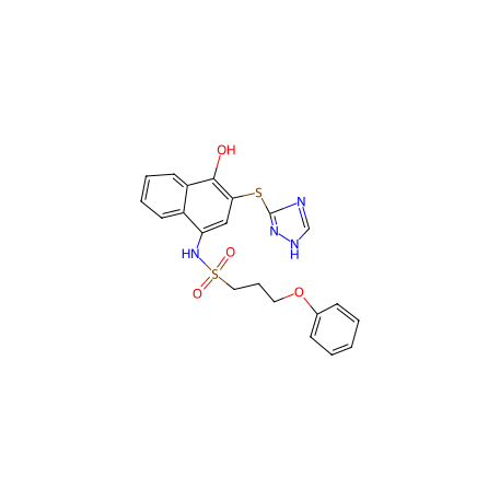 O=S(=O)(CCCOc1ccccc1)Nc1cc(Sc2nc[nH]n2)c(O)c2ccccc12